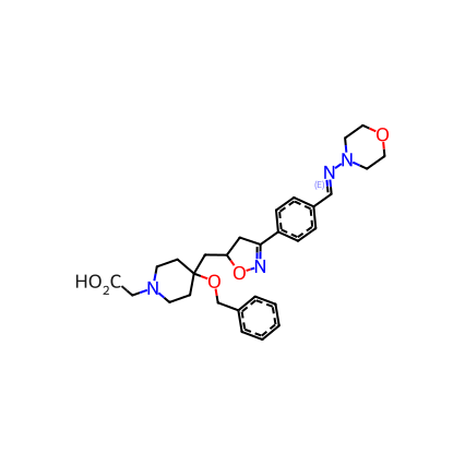 O=C(O)CN1CCC(CC2CC(c3ccc(/C=N/N4CCOCC4)cc3)=NO2)(OCc2ccccc2)CC1